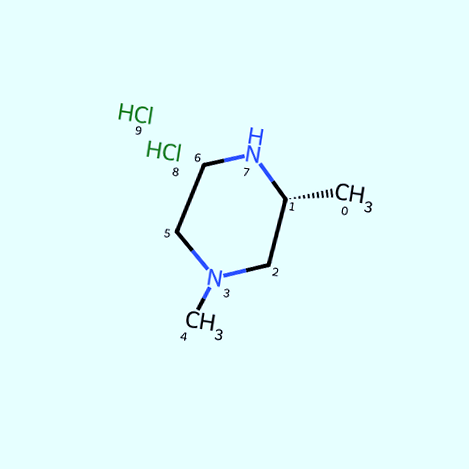 C[C@@H]1CN(C)CCN1.Cl.Cl